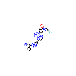 N#CCC(C1CCCC1)n1cc(-c2ccnc(Nc3ccc(C(=O)N4CCC(F)C4)cc3)n2)cn1